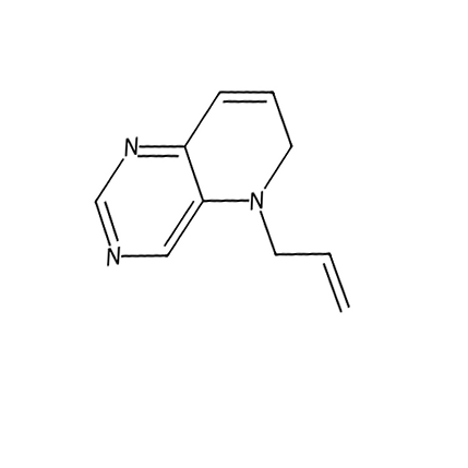 C=CCN1CC=Cc2ncncc21